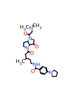 CC(CCNC(=O)c1ccc(N2CCCC2)cc1)CC(=O)N1CCC2C1C(=O)CN2C(=O)CN(C)C